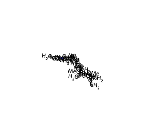 C=CCOC(=O)c1ccc(NC(=O)c2ccc(NC(=O)c3ccc(NC(=O)[C@H](CC#N)NC(=O)c4ccc(NC(=O)/C(C)=C/c5ccc(OCC=C)cc5)cn4)cn3)c(OC)c2OCC=C)c(OC)c1OCC=C